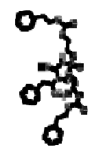 CN(C(=N)NP(=O)(OCCOC(=O)OCCc1ccccc1)OCCOC(=O)OCCc1ccccc1)C(Cc1ccccc1)C(=O)O